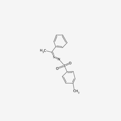 CC(=S=NS(=O)(=O)c1ccc(C)cc1)c1ccccc1